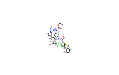 COc1ccc(-c2cc[n+](C)cc2)cc1CN(C(=O)c1sc2c(F)ccc(F)c2c1Cl)[C@H]1CC[C@@H](NC(=O)OC(C)(C)C)CC1